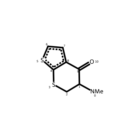 CNC1CSc2sccc2C1=O